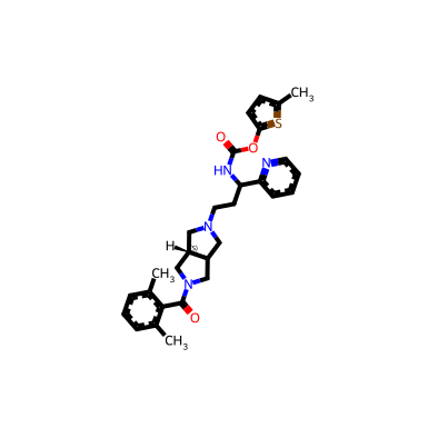 Cc1ccc(OC(=O)NC(CCN2CC3CN(C(=O)c4c(C)cccc4C)C[C@@H]3C2)c2ccccn2)s1